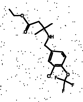 CCOC(=O)CC(C)(C)NCc1ccc(OC(F)(F)F)c(Cl)c1